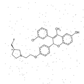 CC1=C(c2cccc(Cl)c2)C(c2ccc(OCCN3CC[C@@H](CF)C3)cc2)Oc2ccc(O)cc21